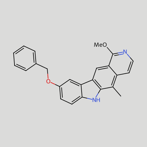 COc1nccc2c(C)c3[nH]c4ccc(OCc5ccccc5)cc4c3cc12